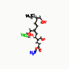 CC(CO)CCC(CO)CCC(CO)CCC(=O)ON.Cl